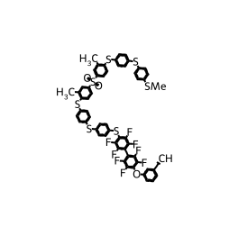 C#Cc1cccc(Oc2c(F)c(F)c(-c3c(F)c(F)c(Sc4ccc(Sc5ccc(Sc6ccc(S(=O)(=O)c7ccc(Sc8ccc(Sc9ccc(SC)cc9)cc8)c(C)c7)cc6C)cc5)cc4)c(F)c3F)c(F)c2F)c1